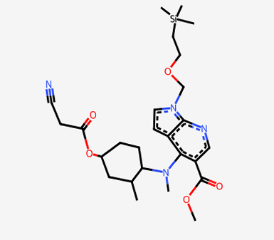 COC(=O)c1cnc2c(ccn2COCC[Si](C)(C)C)c1N(C)C1CCC(OC(=O)CC#N)CC1C